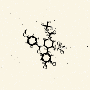 COc1ccc(COc2cc(Cl)c(Cl)cc2C2CCN(C(=O)OC(C)(C)C)CC2OS(C)(=O)=O)cc1